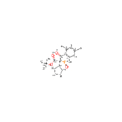 Cc1cc(C)c(C(=O)C(P=O)(C(=O)OC(C)(C)C)C2CCCC2)c(C)c1